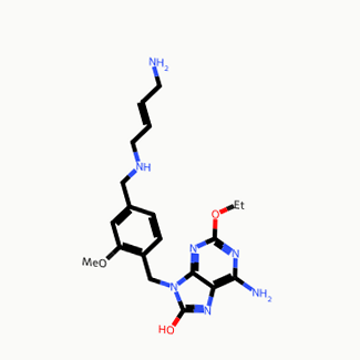 CCOc1nc(N)c2nc(O)n(Cc3ccc(CNC/C=C/CN)cc3OC)c2n1